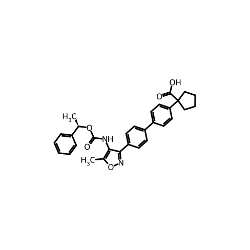 Cc1onc(-c2ccc(-c3ccc(C4(C(=O)O)CCCC4)cc3)cc2)c1NC(=O)O[C@H](C)c1ccccc1